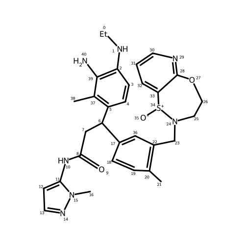 CCNc1ccc(C(CC(=O)Nc2ccnn2C)c2ccc(C)c(CN3CCOc4ncccc4[S+]3[O-])c2)c(C)c1N